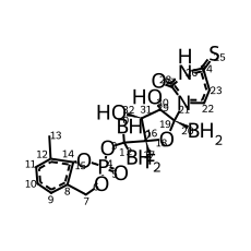 BC(B)(OP1(=O)OCc2cccc(C)c2O1)[C@@]1(F)O[C@@](B)(n2ccc(=S)[nH]c2=O)[C@H](O)[C@@H]1O